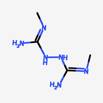 CN=C(N)NNC(N)=NC